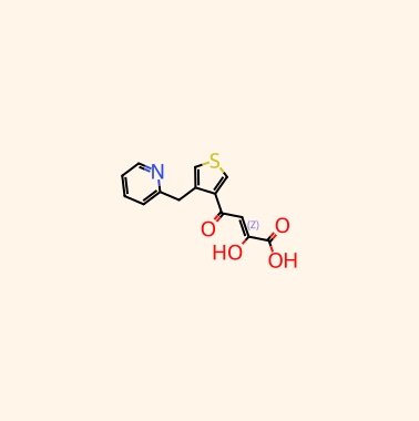 O=C(O)/C(O)=C/C(=O)c1cscc1Cc1ccccn1